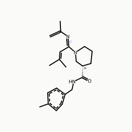 C=C(C)/N=C(\C=C(C)C)N1CCC[C@H](C(=O)NCc2ccc(C)cc2)C1